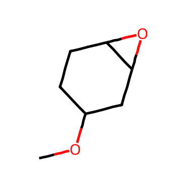 COC1CCC2OC2C1